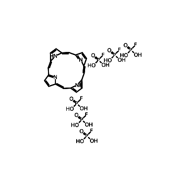 C1=Cc2cc3ccc(cc4nc(cc5ccc(cc1n2)[nH]5)C=C4)[nH]3.O=P(O)(O)F.O=P(O)(O)F.O=P(O)(O)F.O=P(O)(O)F.O=P(O)(O)F.O=P(O)(O)F